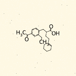 CCc1cc(C(C)=O)ccc1CC(CCC1=CCCCC1)C(=O)O